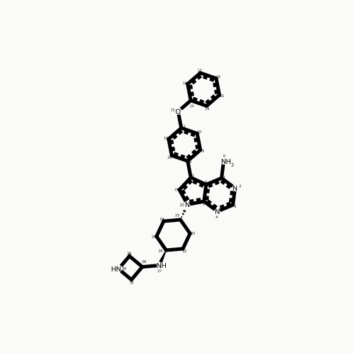 Nc1ncnc2c1c(-c1ccc(Oc3ccccc3)cc1)cn2[C@H]1CC[C@H](NC2CNC2)CC1